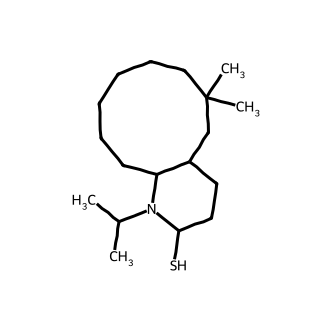 CC(C)N1C(S)CCC2CC(C)(C)CCCCCCC21